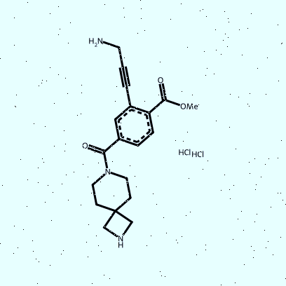 COC(=O)c1ccc(C(=O)N2CCC3(CC2)CNC3)cc1C#CCN.Cl.Cl